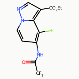 CCOC(=O)c1cnn2ccc(NC(=O)C(F)(F)F)c(F)c12